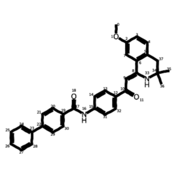 COc1ccc2c(c1)C(=CC(=O)c1ccc(NC(=O)c3ccc(-c4ccccc4)cc3)cc1)NC(C)(C)C2